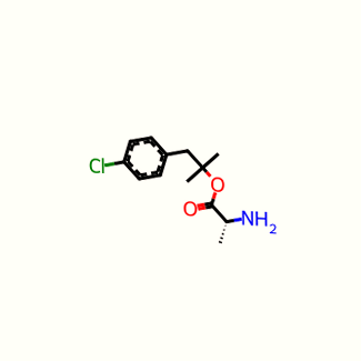 C[C@@H](N)C(=O)OC(C)(C)Cc1ccc(Cl)cc1